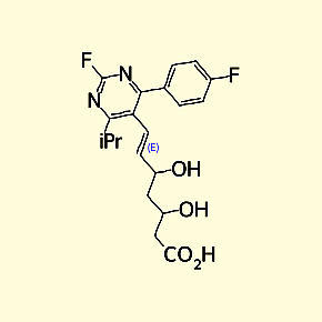 CC(C)c1nc(F)nc(-c2ccc(F)cc2)c1/C=C/C(O)CC(O)CC(=O)O